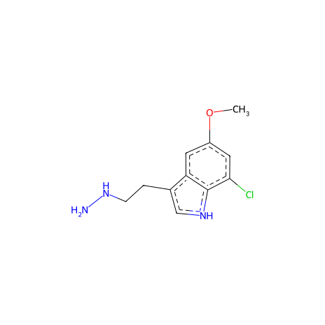 COc1cc(Cl)c2[nH]cc(CCNN)c2c1